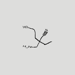 CCC(C#N)(CN)CCO